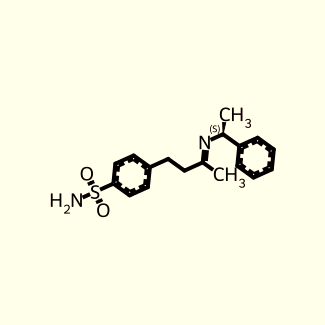 CC(CCc1ccc(S(N)(=O)=O)cc1)=N[C@@H](C)c1ccccc1